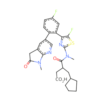 CN(C(=O)C(CC(=O)O)CC1CCCC1)c1nc(-c2cc(F)ccc2-c2cnc3c(c2)CC(=O)N3C)c(F)s1